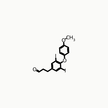 COc1ccc(Oc2c(I)cc(CCC=O)cc2I)cc1